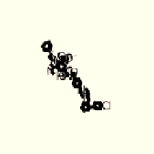 CN(C)CC[C@@H](CSc1ccccc1)Nc1ccc(S(=O)(=O)NC(=O)c2ccc(N3CCN(Cc4ccccc4-c4ccc(Cl)cc4)CC3)cc2)cc1[N+](=O)[O-]